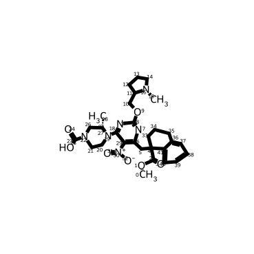 COC(=O)C1(Cc2nc(OCC3CCCN3C)nc(N3CCN(C(=O)O)C[C@@H]3C)c2[N+](=O)[O-])CCCc2ccccc21